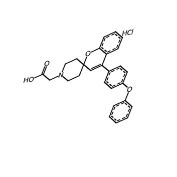 Cl.O=C(O)CN1CCC2(C=C(c3ccc(Oc4ccccc4)cc3)c3ccccc3O2)CC1